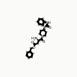 N[C@H](CC(=O)OCc1ccccc1)C(=O)N1CCC(n2c(=O)[nH]c3ccccc32)CC1